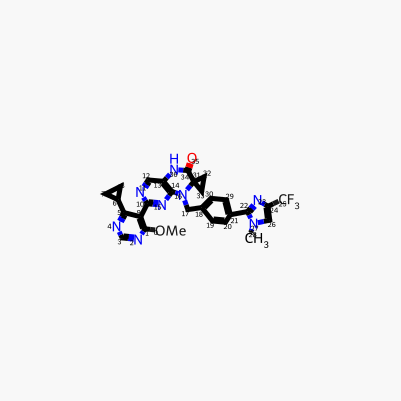 COc1ncnc(C2CC2)c1-c1ncc2c(n1)N(Cc1ccc(-c3nc(C(F)(F)F)cn3C)cc1)C1(CC1)C(=O)N2